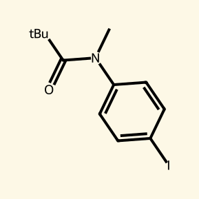 CN(C(=O)C(C)(C)C)c1ccc(I)cc1